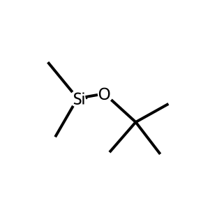 C[Si](C)OC(C)(C)C